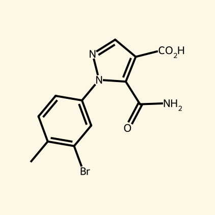 Cc1ccc(-n2ncc(C(=O)O)c2C(N)=O)cc1Br